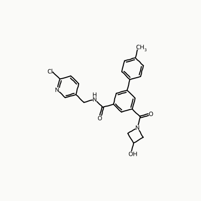 Cc1ccc(-c2cc(C(=O)NCc3ccc(Cl)nc3)cc(C(=O)N3CC(O)C3)c2)cc1